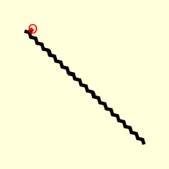 CCCCCCCCCCCCCCCC/C=C/CCCCC/C=C/CCCCC/C=C/CCCCCC(C)=O